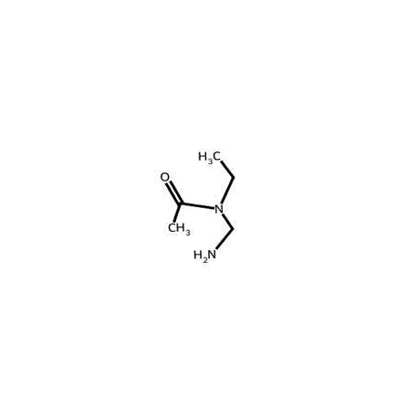 CCN(CN)C(C)=O